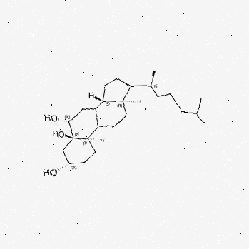 CC(C)CCC[C@H](C)C1CC[C@H]2C3C[C@@H](O)[C@@]4(O)C[C@@H](O)CC[C@]4(C)C3CC[C@]12C